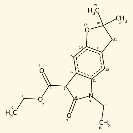 CCOC(=O)C1C(=O)N(CC)c2cc3c(cc21)OC(C)(C)C3